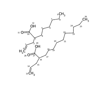 C=CCC(CCCCCC)C(=O)O.C=CCC(CCCCCCCCCC)C(=O)O